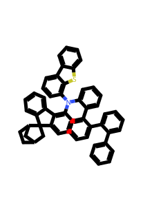 c1ccc(-c2ccccc2-c2ccccc2-c2ccccc2N(c2cccc3c2-c2ccccc2C32CC3CCC2C3)c2cccc3c2sc2ccccc23)cc1